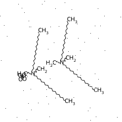 C=CC[N+](CC=C)(CCCCCCCCCCCCCCCCCC)CCCCCCCCCCCCCCCCCC.C=CC[N+](CC=C)(CCCCCCCCCCCCCCCCCC)CCCCCCCCCCCCCCCCCC.O=S(=O)([O-])[O-]